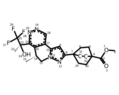 COC(=O)C12CCC(c3cc4n(n3)C[C@H](C)c3c-4cnnc3[C@@](C)(O)C(F)(F)F)(CC1)CC2